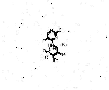 CC(C)C(=C(C(C)C)P(=O)(O)O)[C@H](Nc1nc(Cl)ncc1F)C(C)(C)C